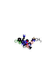 Cc1nc(COC2CC(c3cc4c(C)nc5c(F)c(-c6cccc(Cl)c6Cl)c(CCC#N)cc5c4n3C3C4CNC3C4)N(C(=O)C3CC3)C2)cs1